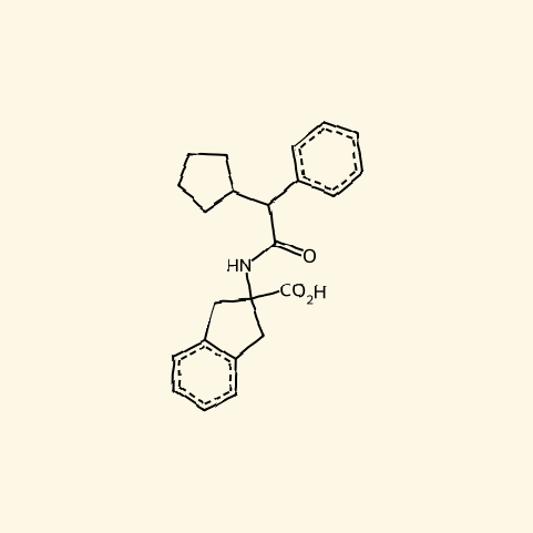 O=C(NC1(C(=O)O)Cc2ccccc2C1)C(c1ccccc1)C1CCCC1